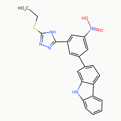 O=C(O)CSc1nnc(-c2cc(-c3ccc4c(c3)[nH]c3ccccc34)cc([N+](=O)O)c2)[nH]1